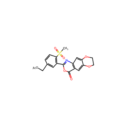 CC(=O)OCc1ccc(S(C)(=O)=O)c(-c2nc3cc4c(cc3c(=O)o2)OCCO4)c1